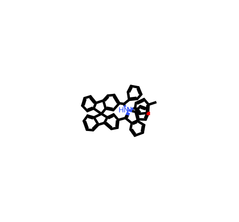 Cc1ccc(/N=C(\c2ccccc2)c2ccc3c(c2)C2(c4ccccc4-3)c3ccccc3-c3ccc(C(Nc4ccccc4)c4ccccc4)cc32)cc1